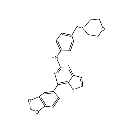 c1cc2nc(Nc3ccc(CN4CCOCC4)cc3)nc(-c3ccc4c(c3)OCO4)c2s1